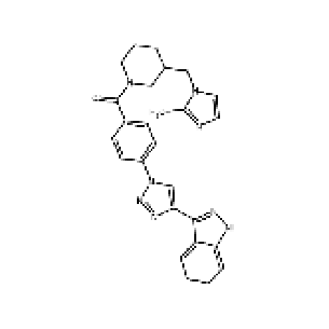 Cc1nccn1CC1CCCN(C(=O)c2ccc(-n3cc(-c4n[nH]c5c4=CCCC=5)nn3)cc2)C1